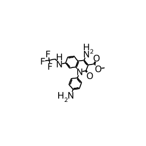 COC(=O)c1c(N)c2ccc(NCC(F)(F)F)cc2n(-c2ccc(N)cc2)c1=O